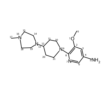 COc1cc(N)cnc1N1CCC(N2CCN(C)CC2)CC1